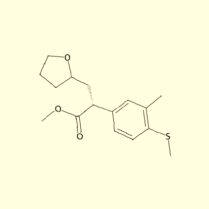 COC(=O)[C@H](CC1CCCO1)c1ccc(SC)c(C)c1